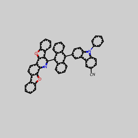 N#Cc1ccc2c(c1)c1cc(-c3c4ccccc4c(-c4nc5c(ccc6c7ccccc7oc65)c5oc6ccccc6c45)c4ccccc34)ccc1n2-c1ccccc1